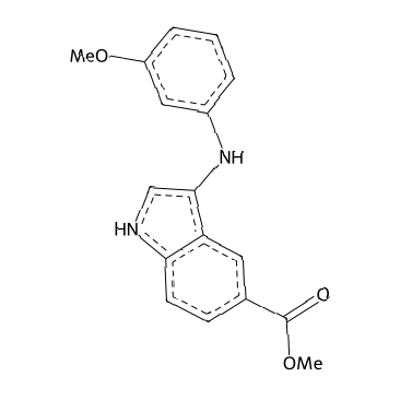 COC(=O)c1ccc2[nH]cc(Nc3cccc(OC)c3)c2c1